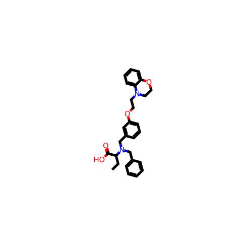 CCC(C(=O)O)N(Cc1ccccc1)Cc1cccc(OCCN2CCOc3ccccc32)c1